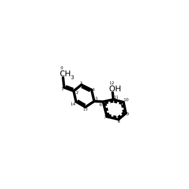 CC=C1C=CC(c2ccccc2O)C=C1